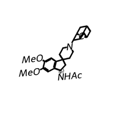 COc1cc2c(cc1OC)C1(CCN(C3C=C4C5CC4CC3C5)CC1)C[C@@H]2NC(C)=O